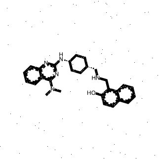 CN(C)c1nc(N[C@H]2CC[C@@H](CNCc3c(O)ccc4ccccc34)CC2)nc2ccccc12